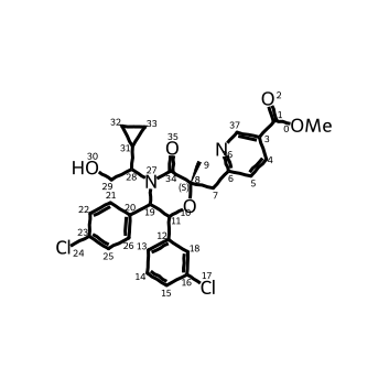 COC(=O)c1ccc(C[C@]2(C)OC(c3cccc(Cl)c3)C(c3ccc(Cl)cc3)N(C(CO)C3CC3)C2=O)nc1